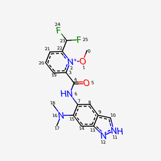 CO[n+]1c(C(=O)Nc2cc3c[nH]nc3cc2N(C)C)cccc1C(F)F